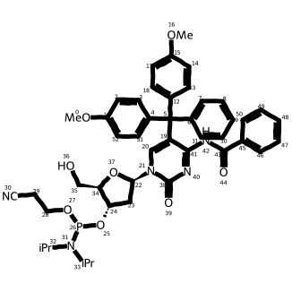 COc1ccc(C(c2ccccc2)(c2ccc(OC)cc2)c2cn([C@H]3C[C@H](OP(OCCC#N)N(C(C)C)C(C)C)[C@@H](CO)O3)c(=O)nc2NC(=O)c2ccccc2)cc1